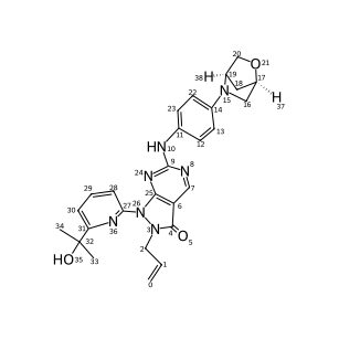 C=CCn1c(=O)c2cnc(Nc3ccc(N4C[C@H]5C[C@@H]4CO5)cc3)nc2n1-c1cccc(C(C)(C)O)n1